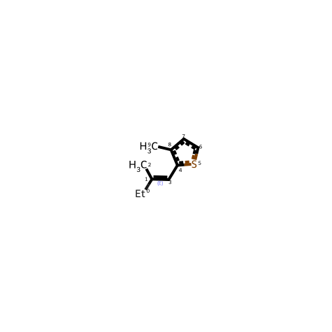 CC/C(C)=C/c1sccc1C